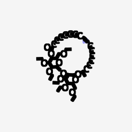 CCOCC1OC2OC3C(OC(C)CCCCCC/C=C\CCCCCCCC(=O)OC1C(OCC)C2OCC)OC(COCC)C(OCC)C3OCC